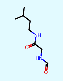 CC(C)CCNC(=O)CNC=O